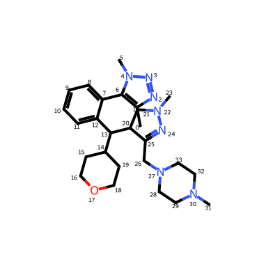 Cc1nnn(C)c1-c1ccccc1C(C1CCOCC1)C1CN(C)N=C1CN1CCN(C)CC1